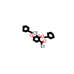 CCC(=O)c1ccc(OCc2ccccc2)c(C(F)(F)F)c1OCc1ccccc1